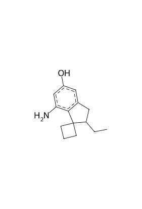 CCC1Cc2cc(O)cc(N)c2C12CCC2